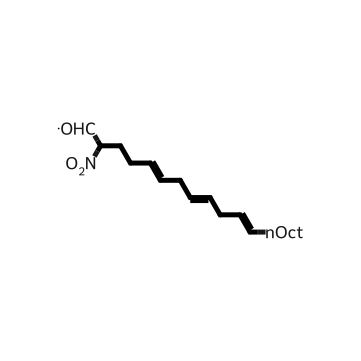 CCCCCCCC/C=C/C/C=C/C/C=C/CCC([C]=O)[N+](=O)[O-]